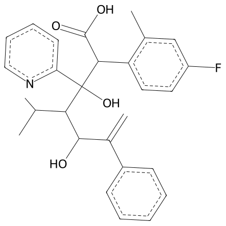 C=C(c1ccccc1)C(O)C(C(C)C)C(O)(c1ccccn1)C(C(=O)O)c1ccc(F)cc1C